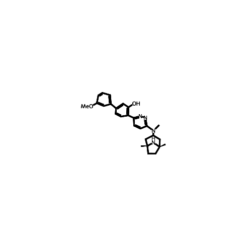 COc1cccc(-c2ccc(-c3ccc(N(C)C4C[C@]5(C)CC[C@](C)(C4)N5)nn3)c(O)c2)c1